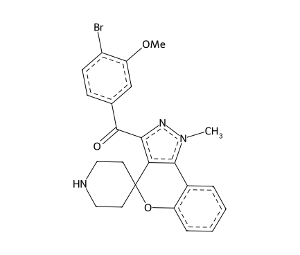 COc1cc(C(=O)c2nn(C)c3c2C2(CCNCC2)Oc2ccccc2-3)ccc1Br